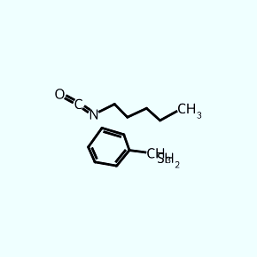 CCCCCN=C=O.Cc1ccccc1.S